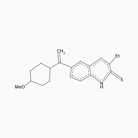 C=C(c1ccc2[nH]c(=S)c(CC)cc2c1)C1CCC(OC)CC1